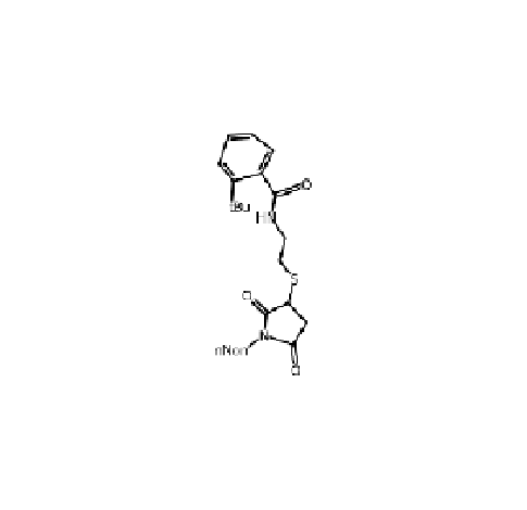 CCCCCCCCCN1C(=O)CC(SCCNC(=O)c2ccccc2C(C)(C)C)C1=O